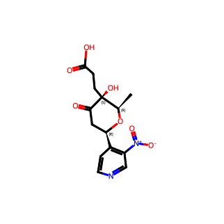 C[C@H]1O[C@@H](c2ccncc2[N+](=O)[O-])CC(=O)[C@]1(O)CCC(=O)O